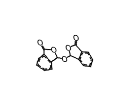 O=C1OC(OC2OC(=O)c3ccccc32)c2ccccc21